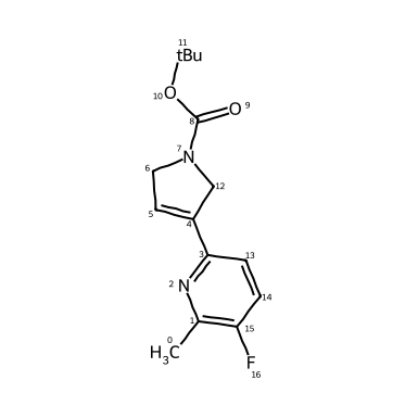 Cc1nc(C2=CCN(C(=O)OC(C)(C)C)C2)ccc1F